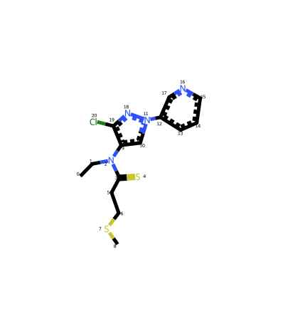 CCN(C(=S)CCSC)c1cn(-c2cccnc2)nc1Cl